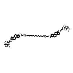 CC12CCC3c4ccc(OCCSSCCCCCCCCCCCCCCSSCCOc5ccc6c(c5)CCC5C6CCC6(C)C(OCCCOC(C(F)(F)F)(C(F)(F)F)C(F)(F)F)CCC56)cc4CCC3C1CCC2OCCCOC(C)(C(F)(F)F)C(F)(F)F